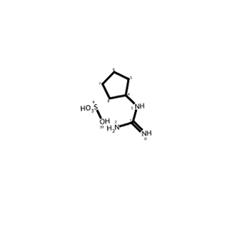 N=C(N)NC1CCCC1.O=S(=O)(O)O